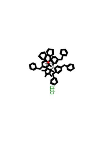 CC1=C(C)C(C)([Si](c2cc(Cc3ccccc3)ccc2Cc2ccccc2)(c2cc(Cc3ccccc3)ccc2Cc2ccccc2)c2cc(Cc3ccccc3)ccc2Cc2ccccc2)[C]([Ti+3])=C1C.[Cl-].[Cl-].[Cl-]